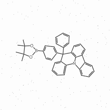 CC1(C)OB(c2ccc(C3(c4ccccc4)c4ccccc4-n4c5ccccc5c5cccc3c54)cc2)OC1(C)C